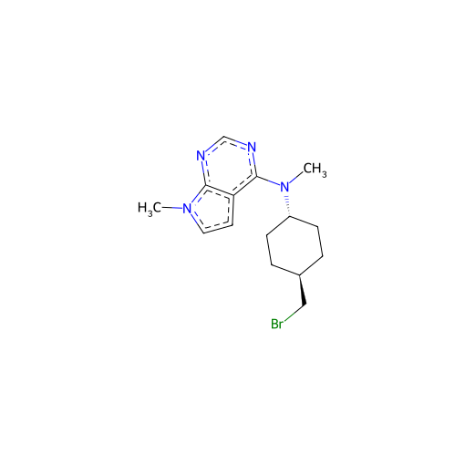 Cn1ccc2c(N(C)[C@H]3CC[C@H](CBr)CC3)ncnc21